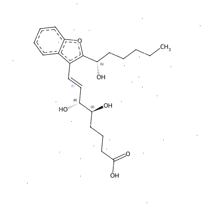 CCCCC[C@H](O)c1oc2ccccc2c1/C=C/[C@@H](O)[C@@H](O)CCCC(=O)O